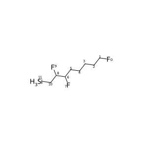 FCCCCCC(F)C(F)C[SiH3]